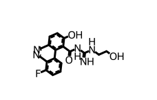 N#Cc1ccc(O)c(C(=O)NC(=N)NCCO)c1-c1cccc(F)c1C#N